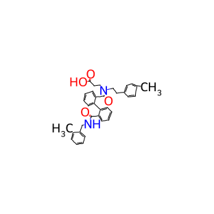 Cc1ccc(CCN(CCC(=O)O)C(=O)c2ccccc2-c2ccccc2C(=O)NCc2ccccc2C)cc1